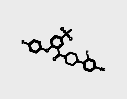 CC(=O)c1ccc(N2CCN(C(=O)c3cc(S(C)(=O)=O)ccc3Oc3ccc(F)cc3)CC2)c(F)c1